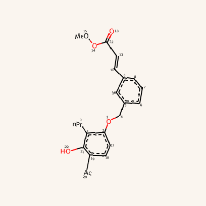 CCCc1c(OCc2cccc(C=CC(=O)OOC)c2)ccc(C(C)=O)c1O